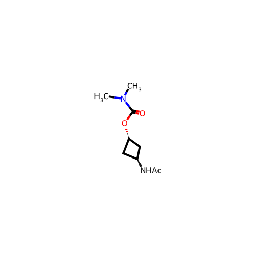 CC(=O)N[C@H]1C[C@H](OC(=O)N(C)C)C1